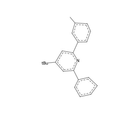 Cc1cccc(-c2cc(C(C)(C)C)cc(-c3ccccc3)n2)c1